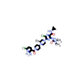 CC[C@H]1CN(c2nc(NC(=O)N(C)C)c(C(=O)NC3CC3)nc2Cl)CCN1C1CCN(C(=O)c2ccc(Cl)nc2N)CC1